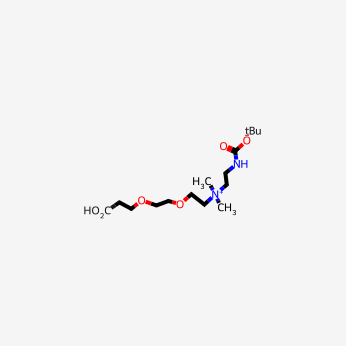 CC(C)(C)OC(=O)NCC[N+](C)(C)CCOCCOCCC(=O)O